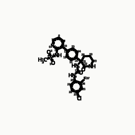 CS(=O)(=O)Nc1ncccc1-c1ccc([C@]2(NC(=O)Nc3ccc(Cl)cc3F)CCCNC2=O)cc1